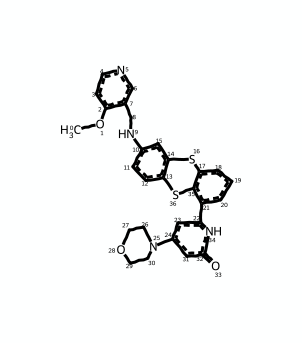 COc1ccncc1CNc1ccc2c(c1)Sc1cccc(-c3cc(N4CCOCC4)cc(=O)[nH]3)c1S2